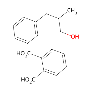 CC(CO)Cc1ccccc1.O=C(O)c1ccccc1C(=O)O